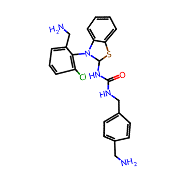 NCc1ccc(CNC(=O)NC2Sc3ccccc3N2c2c(Cl)cccc2CN)cc1